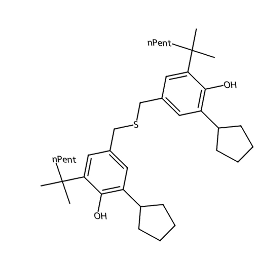 CCCCCC(C)(C)c1cc(CSCc2cc(C3CCCC3)c(O)c(C(C)(C)CCCCC)c2)cc(C2CCCC2)c1O